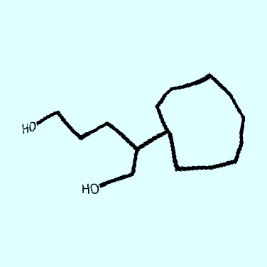 OCCCC(CO)C1CCCCCCCCC1